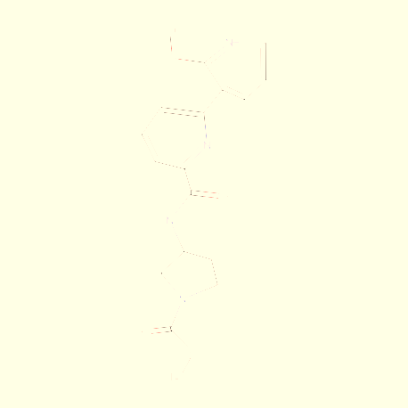 CCOc1ncccc1-c1cccc(C(=O)NC2CCN(C(=O)OC(C)(C)C)C2)n1